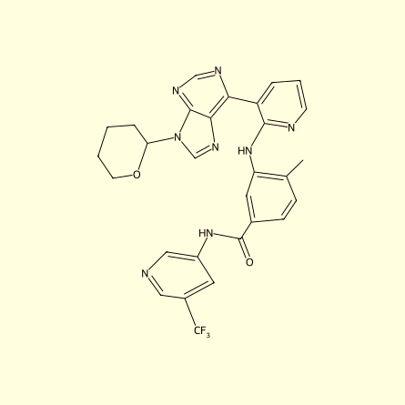 Cc1ccc(C(=O)Nc2cncc(C(F)(F)F)c2)cc1Nc1ncccc1-c1ncnc2c1ncn2C1CCCCO1